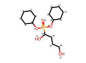 O=P(OC1CCCCC1)(OC1CCCCC1)C(O)CCCO